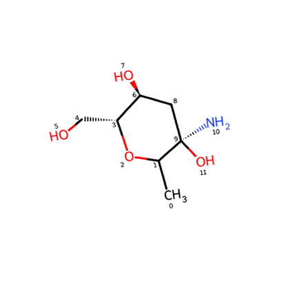 CC1O[C@H](CO)[C@@H](O)C[C@@]1(N)O